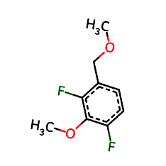 COCc1ccc(F)c(OC)c1F